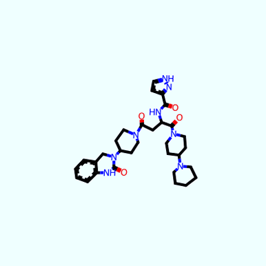 O=C(NC(CC(=O)N1CCC(N2Cc3ccccc3NC2=O)CC1)C(=O)N1CCC(N2CCCCC2)CC1)c1cc[nH]n1